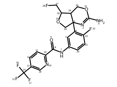 NC1=NC2(c3cc(NC(=O)c4ccc(C(F)(F)F)cn4)ccc3F)COC(CF)C2CO1